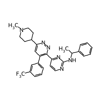 CC(Nc1nccc(-c2nnc(C3CCN(C)CC3)cc2-c2cccc(C(F)(F)F)c2)n1)c1ccccc1